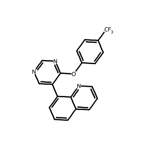 FC(F)(F)c1ccc(Oc2ncncc2-c2cccc3cccnc23)cc1